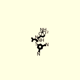 CCC(OC(N)=O)c1nc(C(C)C)c(Sc2cc(C#N)cc(C#N)c2)[nH]1